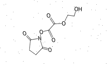 O=C(OCCO)C(=O)ON1C(=O)CCC1=O